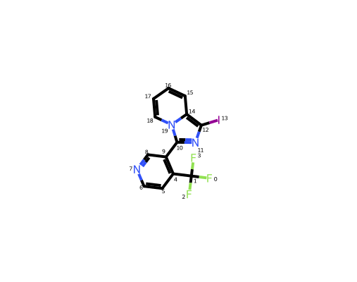 FC(F)(F)c1ccncc1-c1nc(I)c2ccccn12